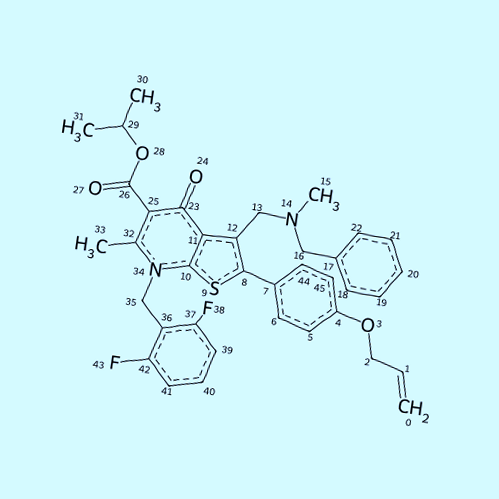 C=CCOc1ccc(-c2sc3c(c2CN(C)Cc2ccccc2)c(=O)c(C(=O)OC(C)C)c(C)n3Cc2c(F)cccc2F)cc1